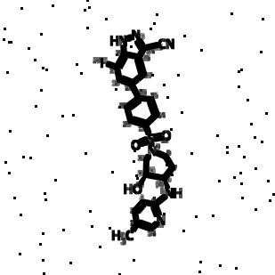 Cc1ccc(N[C@@H]2CCN(S(=O)(=O)c3ccc(-c4cc(F)c5[nH]nc(C#N)c5c4)cc3)C[C@@H]2O)nc1